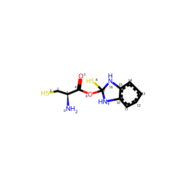 N[C@@H](CS)C(=O)OC1(S)Nc2ccccc2N1